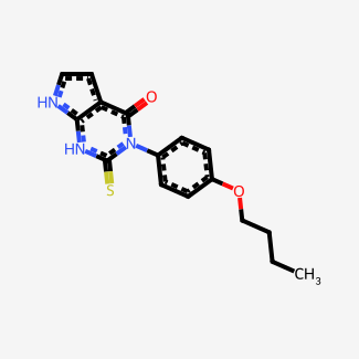 CCCCOc1ccc(-n2c(=S)[nH]c3[nH]ccc3c2=O)cc1